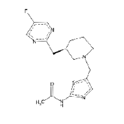 CC(=O)Nc1ncc(CN2CCC[C@H](Cc3ncc(F)cn3)C2)s1